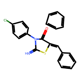 N=C1S/C(=C\c2ccccc2)C(=O)N1c1ccc(Cl)cc1.c1ccccc1